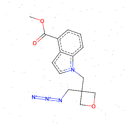 COC(=O)c1cccc2c1ccn2CC1(CN=[N+]=[N-])COC1